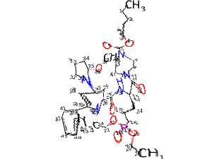 CCCCOC(=O)N1CCN(C(=O)[C@@H](CCCP(=O)(OCC)OCC)NC(=O)c2cc(N3CCC[C@@H]3OC)cc(-c3ccccc3)n2)CC1